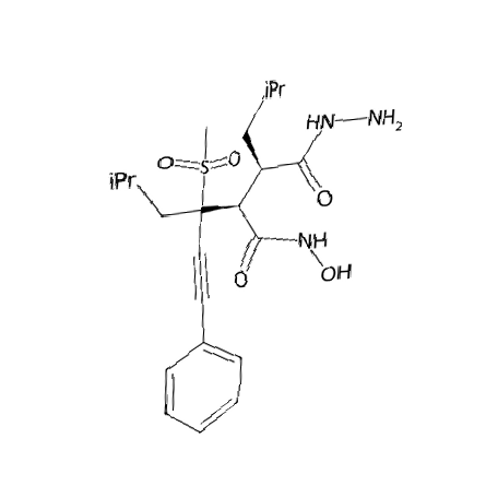 CC(C)C[C@@H](C(=O)NN)[C@@H](C(=O)NO)C(C#Cc1ccccc1)(CC(C)C)S(C)(=O)=O